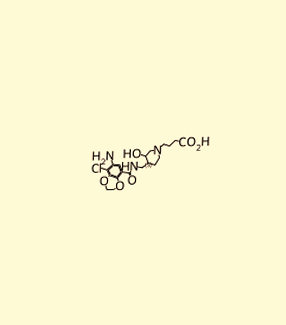 Nc1cc(C(=O)NC[C@@H]2CCN(CCCC(=O)O)CC2O)c2c(c1Cl)OCCO2